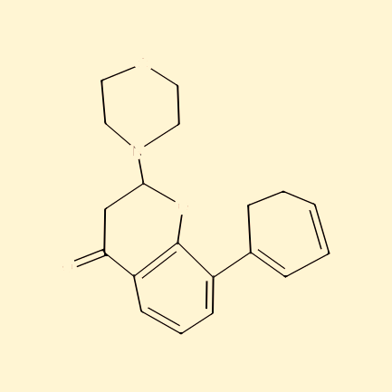 O=C1CC(N2CCOCC2)Oc2c1cccc2C1=CC=CCC1